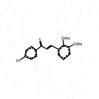 CCc1ccc(C(=S)C=Cc2cccc(OC)c2OC)cc1